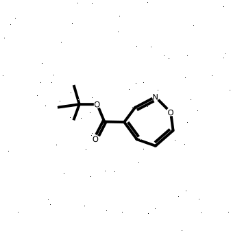 CC(C)(C)OC(=O)C1=CC=CON=[C]1